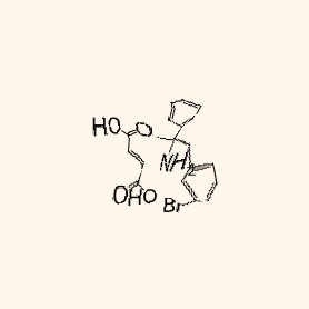 CC(N)(Cc1cccc(Br)c1)c1ccccc1.O=C(O)C=CC(=O)O